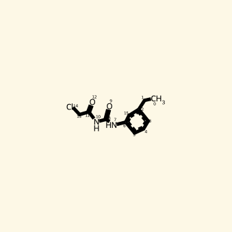 CCc1cccc(NC(=O)NC(=O)CCl)c1